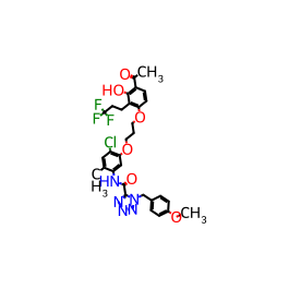 COc1ccc(Cn2nnnc2C(=O)Nc2cc(OCCCOc3ccc(C(C)=O)c(O)c3CCC(F)(F)F)c(Cl)cc2C)cc1